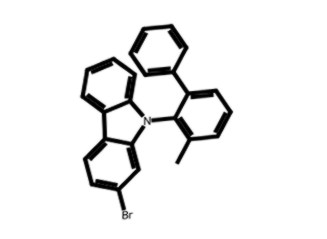 Cc1cccc(-c2ccccc2)c1-n1c2ccccc2c2ccc(Br)cc21